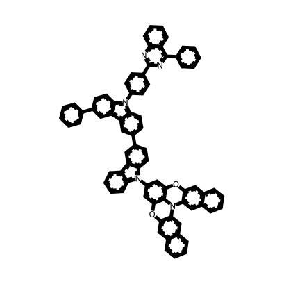 c1ccc(-c2ccc3c(c2)c2cc(-c4ccc5c(c4)c4ccccc4n5-c4cc5c6c(c4)Oc4cc7ccccc7cc4N6c4cc6ccccc6cc4O5)ccc2n3-c2ccc(-c3nc(-c4ccccc4)c4ccccc4n3)cc2)cc1